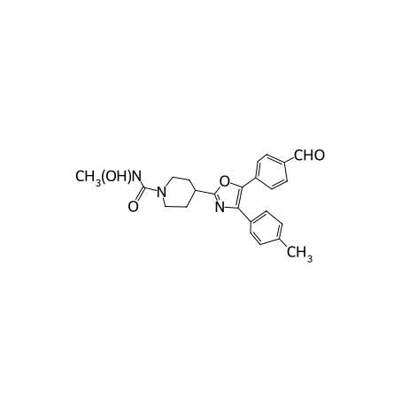 Cc1ccc(-c2nc(C3CCN(C(=O)N(C)O)CC3)oc2-c2ccc(C=O)cc2)cc1